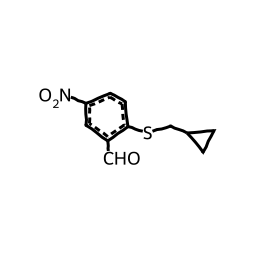 O=Cc1cc([N+](=O)[O-])ccc1SCC1CC1